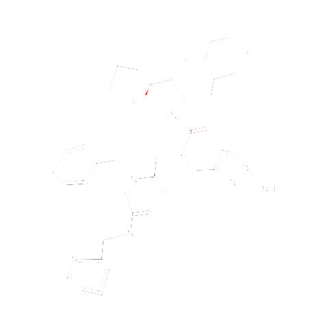 CC(C)C[C@H](O)[C@H](O)[C@H](CC1CCCCC1)NC(=O)[C@@H](CC(=O)N(CC(=O)N(C)Cc1ccccn1)[C@@H](C)c1ccccc1)Cc1csc(N)n1